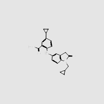 O=C(O)c1cc(C2CC2)ccc1Nc1ccc2c(c1)CC(=O)N2CC1CC1